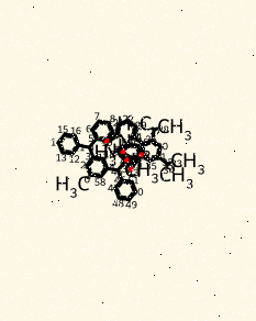 Cc1cc(C(c2ccccc2)c2ccccc2)c(-n2cc3cccc(-c4c(C(C)C)cc(C(C)C)cc4C(C)C)n3[c]2=[Rh-2][Cl])c(C(c2ccccc2)c2ccccc2)c1